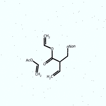 C=COC(=O)C(C=C)CCCCCCCCCC.C=COC(C)=O